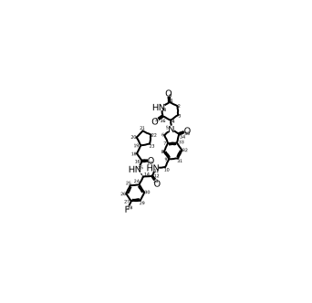 O=C1CCC(N2Cc3cc(CNC(=O)[C@@H](NC(=O)CC4CCCC4)c4ccc(F)cc4)ccc3C2=O)C(=O)N1